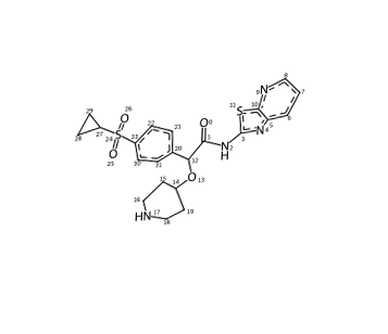 O=C(Nc1nc2cccnc2s1)C(OC1CCNCC1)c1ccc(S(=O)(=O)C2CC2)cc1